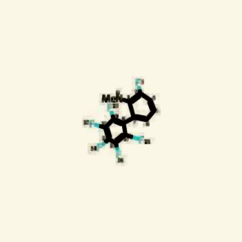 CNc1c(F)cccc1-c1c(F)c(F)c(F)c(F)c1F